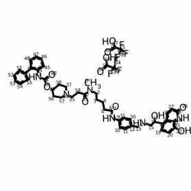 CN(CCCCC(=O)Nc1ccc(CNCC(O)c2ccc(O)c3[nH]c(=O)ccc23)cc1)C(=O)CCN1CCC(OC(=O)Nc2ccccc2-c2ccccc2)CC1.O=C(O)C(F)(F)F.O=C(O)C(F)(F)F